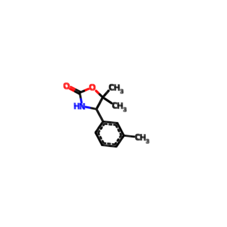 Cc1cccc(C2NC(=O)OC2(C)C)c1